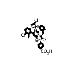 O=C(O)c1ccc(NC(=O)[C@H](Cc2ccccc2)n2cnc(-c3c(N4C=C(Cl)NN4)ccc(Cl)c3F)cc2=O)cc1